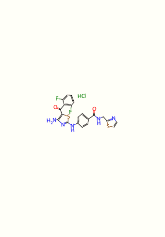 Cl.Nc1nc(Nc2ccc(C(=O)NCc3nccs3)cc2)sc1C(=O)c1c(F)cccc1F